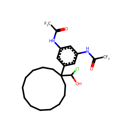 O=C(Nc1cc(NC(=O)C(F)(F)F)cc(C2(C(O)Cl)CCCCCCCCCCCC2)c1)C(F)(F)F